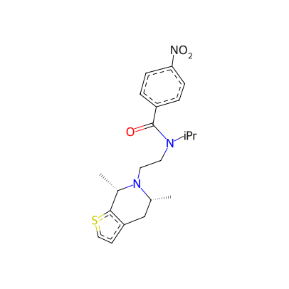 CC(C)N(CCN1[C@H](C)Cc2ccsc2[C@@H]1C)C(=O)c1ccc([N+](=O)[O-])cc1